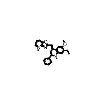 CCc1cc2c(cc1OC)/C(=C/c1nc3c(ccc[n+]3C)o1)C=C(c1ccccc1)N2C